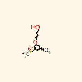 C[S+]([O-])Cc1cc(OCCCCCO)cc([N+](=O)[O-])c1